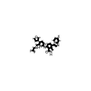 O=C1NCc2c(-c3cnc4cc(F)ccn34)ccc(Nc3ccc([C@H]4CCOC4)c(CNCC(F)F)n3)c21